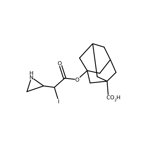 O=C(OC12CC3CC(C1)CC(C(=O)O)(C3)C2)C(I)C1CN1